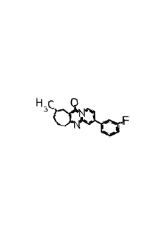 CC1CCCc2nc3cc(-c4cccc(F)c4)ccn3c(=O)c2C1